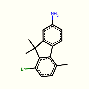 Cc1ccc(Br)c2c1-c1ccc(N)cc1C2(C)C